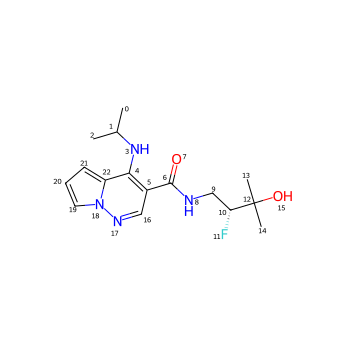 CC(C)Nc1c(C(=O)NC[C@@H](F)C(C)(C)O)cnn2cccc12